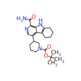 CC(C)(C)OC(=O)N1CCCC(c2cnc(C(N)=O)c3[nH]c4c(c23)CCCC4)C1